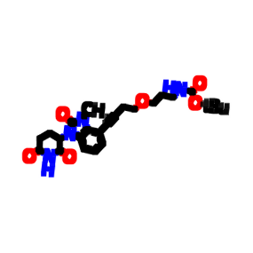 Cn1c(=O)n(C2CCC(=O)NC2=O)c2cccc(C#CCCOCCCNC(=O)OC(C)(C)C)c21